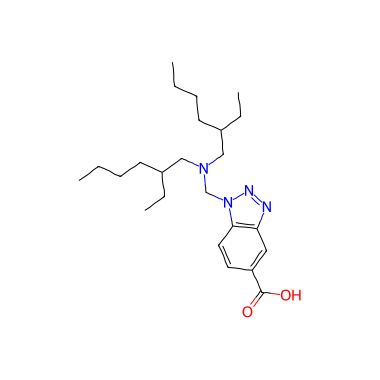 CCCCC(CC)CN(CC(CC)CCCC)Cn1nnc2cc(C(=O)O)ccc21